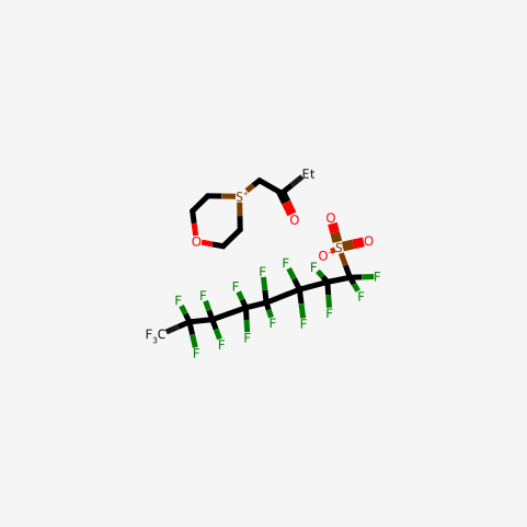 CCC(=O)C[S+]1CCOCC1.O=S(=O)([O-])C(F)(F)C(F)(F)C(F)(F)C(F)(F)C(F)(F)C(F)(F)C(F)(F)C(F)(F)F